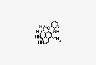 COc1cccnc1Nc1cc(C)c2c(=N)[nH]ccc2c1C